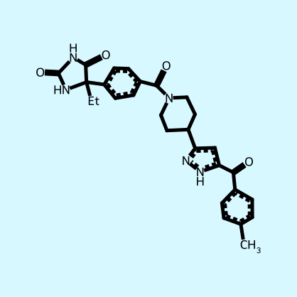 CCC1(c2ccc(C(=O)N3CCC(c4cc(C(=O)c5ccc(C)cc5)[nH]n4)CC3)cc2)NC(=O)NC1=O